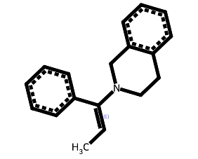 C/C=C(\c1ccccc1)N1CCc2ccccc2C1